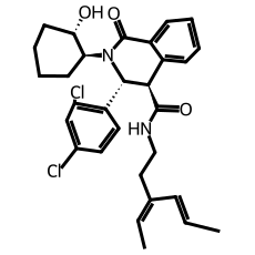 CC=C/C(=C\C)CCNC(=O)[C@@H]1c2ccccc2C(=O)N([C@H]2CCCC[C@@H]2O)[C@H]1c1ccc(Cl)cc1Cl